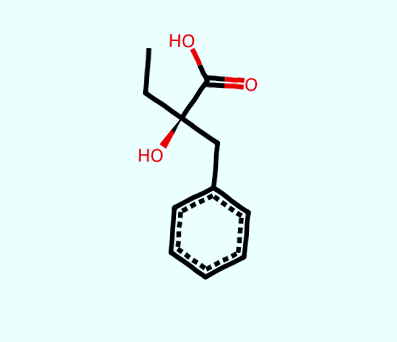 CC[C@@](O)(Cc1ccccc1)C(=O)O